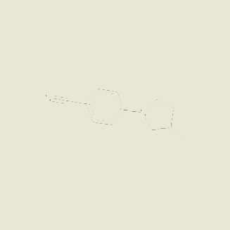 CC1CCN(c2ccc(C#N)cc2)C1